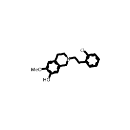 COc1cc2c(cc1O)CN(CCc1ccccc1Cl)CC2